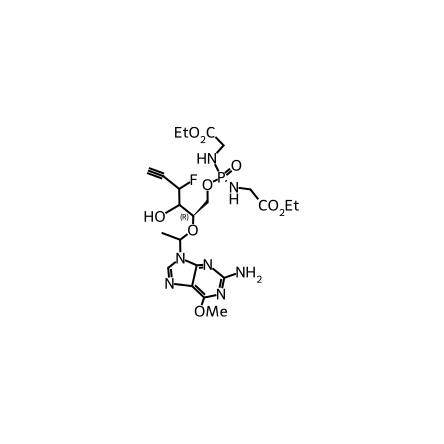 C#CC(F)C(O)[C@@H](COP(=O)(NCC(=O)OCC)NCC(=O)OCC)OC(C)n1cnc2c(OC)nc(N)nc21